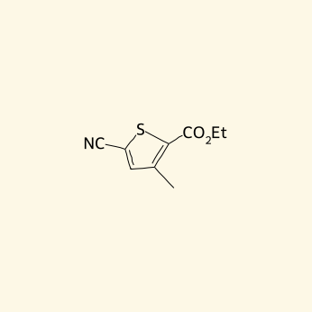 CCOC(=O)c1sc(C#N)cc1C